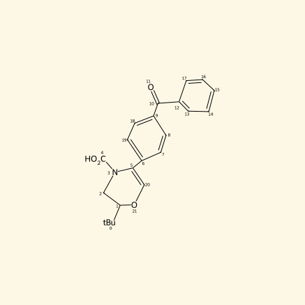 CC(C)(C)C1CN(C(=O)O)C(c2ccc(C(=O)c3ccccc3)cc2)=CO1